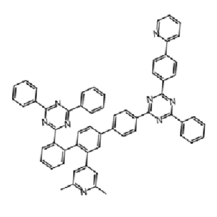 Cc1cc(-c2cc(-c3ccc(-c4nc(-c5ccccc5)nc(-c5ccc(-c6ccccn6)cc5)n4)cc3)ccc2-c2ccccc2-c2nc(-c3ccccc3)nc(-c3ccccc3)n2)cc(C)n1